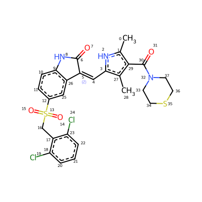 Cc1[nH]c(/C=C2\C(=O)Nc3ccc(S(=O)(=O)Cc4c(Cl)cccc4Cl)cc32)c(C)c1C(=O)N1CCSCC1